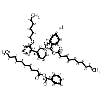 CCCCCCCCCC(=O)OC(Cl)c1ccccc1.CCCCCCCCCC(=O)OC(c1ccccc1)[N+]1(C)CCC=C(c2nsnc2OCCCCCC)C1.[I-]